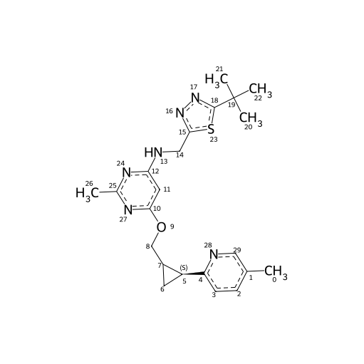 Cc1ccc([C@H]2CC2COc2cc(NCc3nnc(C(C)(C)C)s3)nc(C)n2)nc1